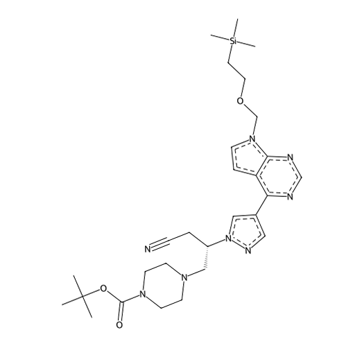 CC(C)(C)OC(=O)N1CCN(C[C@H](CC#N)n2cc(-c3ncnc4c3ccn4COCC[Si](C)(C)C)cn2)CC1